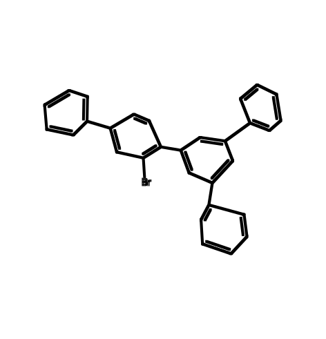 Brc1cc(-c2ccccc2)ccc1-c1cc(-c2ccccc2)cc(-c2ccccc2)c1